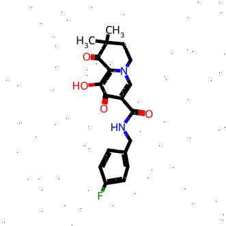 CC1(C)CCn2cc(C(=O)NCc3ccc(F)cc3)c(=O)c(O)c2C1=O